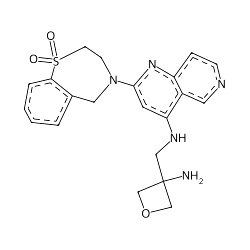 NC1(CNc2cc(N3CCS(=O)(=O)c4ccccc4C3)nc3ccncc23)COC1